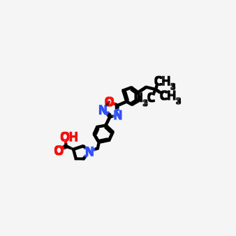 CC(C)(C)Cc1ccc(-c2nc(-c3ccc(CN4CC[C@@H](C(=O)O)C4)cc3)no2)cc1